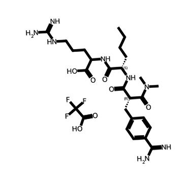 CCCC[C@H](NC(=O)[C@@H](Cc1ccc(C(=N)N)cc1)C(=O)N(C)C)C(=O)NC(CCCNC(=N)N)C(=O)O.O=C(O)C(F)(F)F